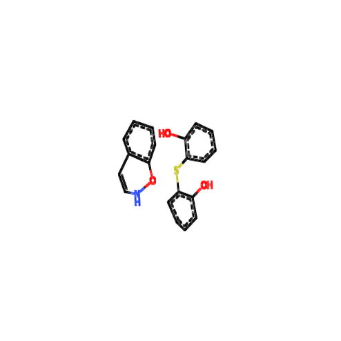 C1=Cc2ccccc2ON1.Oc1ccccc1Sc1ccccc1O